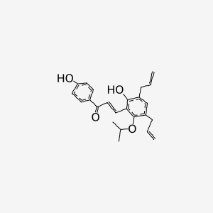 C=CCc1cc(CC=C)c(OC(C)C)c(C=CC(=O)c2ccc(O)cc2)c1O